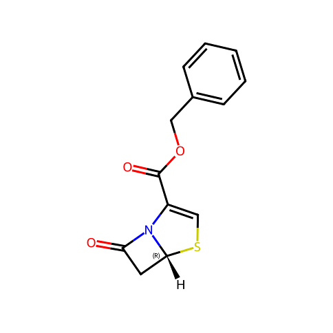 O=C(OCc1ccccc1)C1=CS[C@@H]2CC(=O)N12